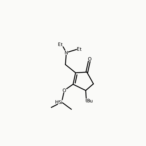 CCN(CC)CC1=C(O[SiH](C)C)C(C(C)(C)C)CC1=O